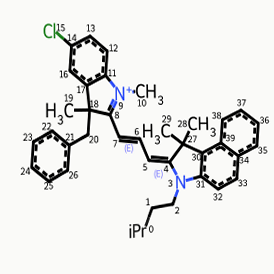 CC(C)CCN1/C(=C/C=C/C2=[N+](C)c3ccc(Cl)cc3C2(C)Cc2ccccc2)C(C)(C)c2c1ccc1ccccc21